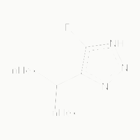 CCCCCCC(CCCCCC)c1nn[nH]c1F